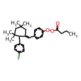 CCCC(=O)OOc1ccc(C=C2CC(C)(C)CC(C)(C)C2c2ccc(F)cc2)cc1